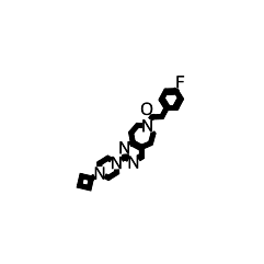 O=C(Cc1ccc(F)cc1)N1CCc2cnc(N3CCN(C4CCC4)CC3)nc2CC1